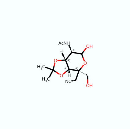 CC(=O)N[C@H]1C(O)O[C@@](CO)(CC#N)[C@@H]2OC(C)(C)O[C@@H]21